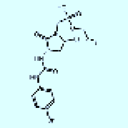 CCOP(=O)(O)CN1C(=O)[C@@H](NC(=O)Nc2ccc(Br)cc2)CC1C